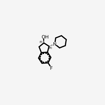 O[C@@H]1Cc2ccc(F)cc2[C@H]1N1CCCCC1